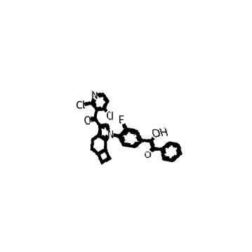 O=C(c1cn(-c2ccc(C(O)C(=O)c3ccccc3)cc2F)c2c1CCC1CCC21)c1c(Cl)ccnc1Cl